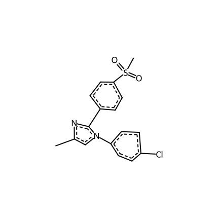 Cc1cn(-c2ccc(Cl)cc2)c(-c2ccc(S(C)(=O)=O)cc2)n1